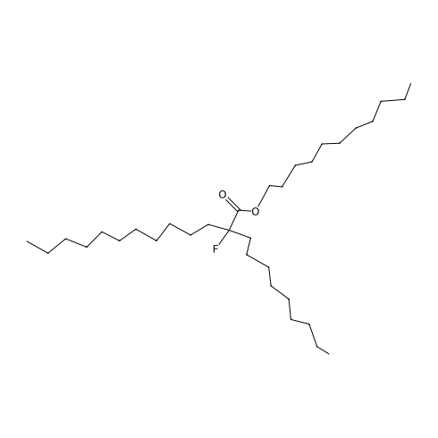 CCCCCCCCCCCOC(=O)C(F)(CCCCCCCCC)CCCCCCCCCCC